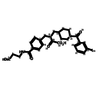 CCCCCCCCCCCCNC(=O)c1ccc(CN(CC2CCN(C(=O)c3cccc(I)c3)CC2)C(=O)C(=O)O)cc1